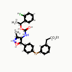 CCOC(=O)Cc1cccc(Sc2ccc(-c3onc(C)c3NC(=O)OC(C)c3ccccc3F)cc2)c1